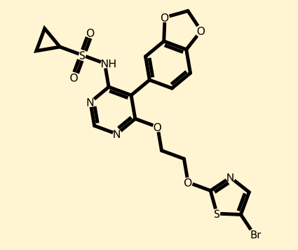 O=S(=O)(Nc1ncnc(OCCOc2ncc(Br)s2)c1-c1ccc2c(c1)OCO2)C1CC1